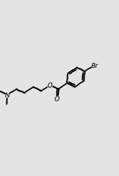 CN(C)CCCCOC(=O)c1ccc(Br)cc1